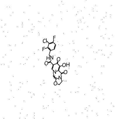 C[C@@H]1CO[C@@]23CCCC2n2cc(C(=O)NCc4ccc(F)c(Cl)c4F)c(=O)c(O)c2C(=O)N13